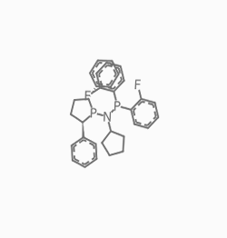 Fc1ccccc1P(c1ccccc1F)N(C1CCCC1)P1[C@@H](c2ccccc2)CC[C@@H]1c1ccccc1